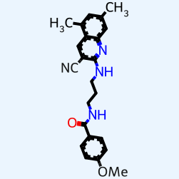 COc1ccc(C(=O)NCCCNc2nc3cc(C)cc(C)c3cc2C#N)cc1